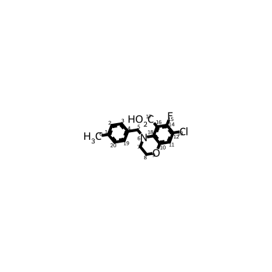 Cc1ccc(CN2CCOc3cc(Cl)c(F)c(C(=O)O)c32)cc1